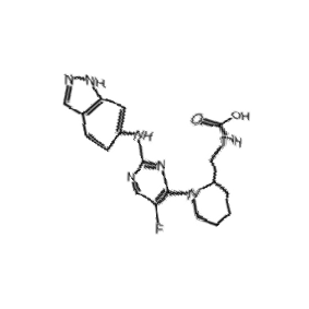 O=C(O)NCC1CCCCN1c1nc(Nc2ccc3cn[nH]c3c2)ncc1F